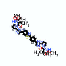 COC(=O)N[C@H](C(=O)N1CCC[C@H]1c1ncc(-c2ccc(-c3nc4ccc(-c5cnc([C@@H]6CCCN6C(=O)[C@@H](NC(=O)OC)C(C)C)[nH]5)cc4s3)cc2)[nH]1)C(C)C